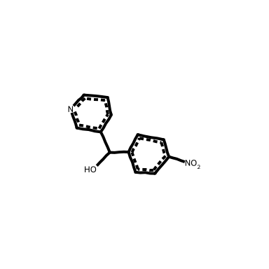 O=[N+]([O-])c1ccc(C(O)c2cccnc2)cc1